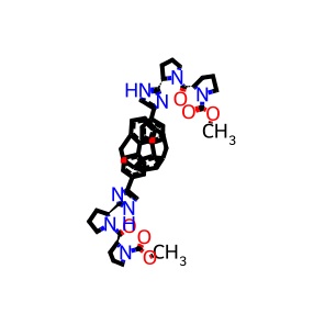 COC(=O)N1CCC[C@H]1C(=O)N1CCC[C@H]1c1nc(-c2ccc(-c3cc4ccc3CCc3ccc(c(-c5ccc(-c6c[nH]c([C@@H]7CCCN7C(=O)[C@@H]7CCCN7C(=O)OC)n6)cc5)c3)CC4)cc2)c[nH]1